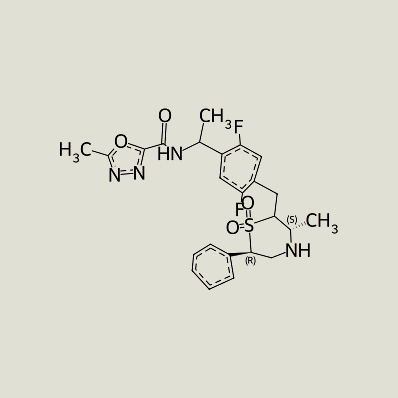 Cc1nnc(C(=O)NC(C)c2cc(F)c(CC3[C@H](C)NC[C@@H](c4ccccc4)S3(=O)=O)cc2F)o1